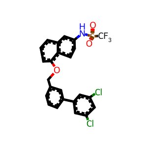 O=S(=O)(Nc1ccc2c(OCc3cccc(-c4cc(Cl)cc(Cl)c4)c3)cccc2c1)C(F)(F)F